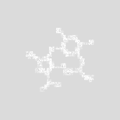 CCc1c(C(F)F)nn(C)c1Oc1cc(O[C@@H](C)C(=O)O)c(Cl)cc1Cl